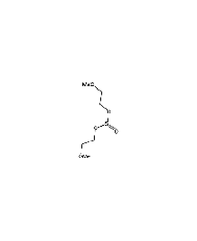 COCCO[Si](=O)OCCOC